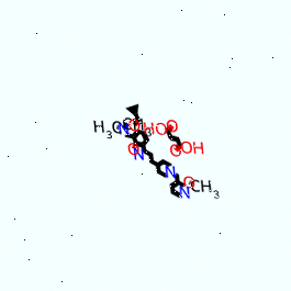 COc1ncccc1CN1CCC(CCc2noc3c(CN(C)C)c(OCC4CC4)ccc23)CC1.O=C(O)C=CC(=O)O